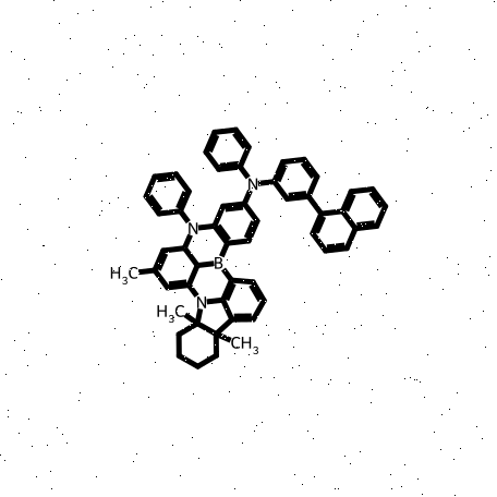 CC1=CC2C3B(c4ccc(N(c5ccccc5)c5cccc(-c6cccc7ccccc67)c5)cc4N2c2ccccc2)c2cccc4c2N(C3=C1)C1(C)CCCCC41C